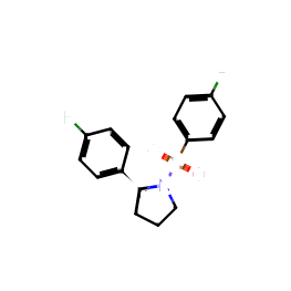 O=S(=O)(c1ccc(F)cc1)N1CCC[C@H]1c1ccc(F)cc1